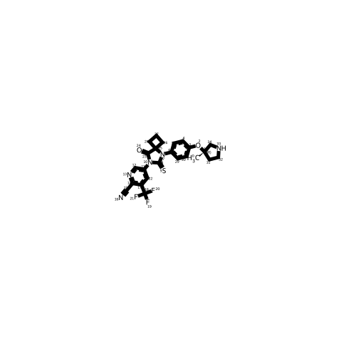 C[C@@]1(Oc2ccc(N3C(=S)N(c4cnc(C#N)c(C(F)(F)F)c4)C(=O)C34CCC4)cc2)CCNC1